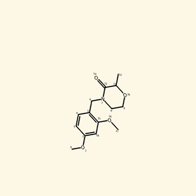 COc1ccc(CN2CCOC(C)C2=O)c(OC)c1